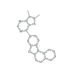 Cc1sc2c(-c3ccc4c(c3)oc3ccc5ccccc5c34)ncnc2c1C